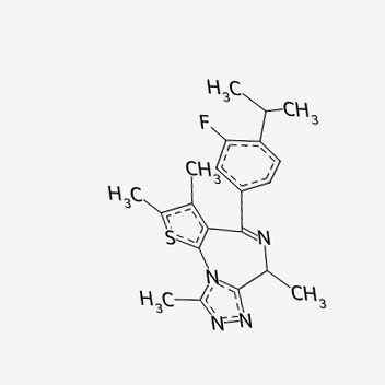 Cc1sc2c(c1C)C(c1ccc(C(C)C)c(F)c1)=NC(C)c1nnc(C)n1-2